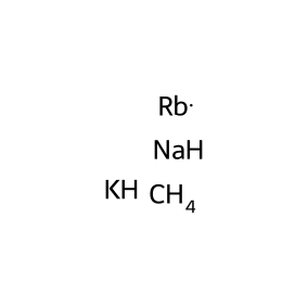 C.[KH].[NaH].[Rb]